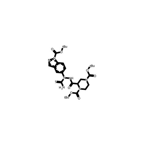 CC(C)(C)OC(=O)N1CCN(C(=O)OC(C)(C)C)C(C(=O)NN(C(N)=S)c2ccc3c(cnn3C(=O)OC(C)(C)C)c2)C1